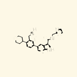 CN(C)Cc1cc(-c2cnc3[nH]cc(C(=O)NCc4ncco4)c3c2)ccc1C1CCOCC1